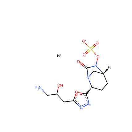 NCC(O)Cc1nnc([C@@H]2CC[C@@H]3CN2C(=O)N3OS(=O)(=O)[O-])o1.[H+]